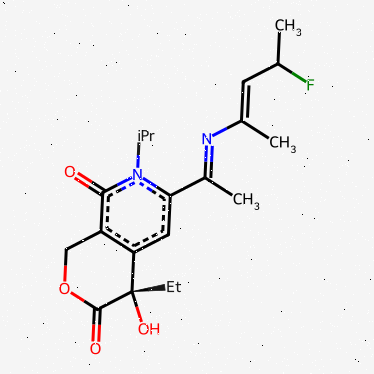 CC[C@@]1(O)C(=O)OCc2c1cc(/C(C)=N/C(C)=C/C(C)F)n(C(C)C)c2=O